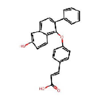 O=C(O)C=Cc1ccc(Oc2c(-c3ccccc3)ccc3cc(O)ccc23)cc1